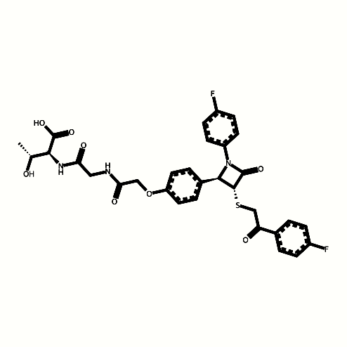 C[C@@H](O)[C@H](NC(=O)CNC(=O)COc1ccc([C@@H]2[C@@H](SCC(=O)c3ccc(F)cc3)C(=O)N2c2ccc(F)cc2)cc1)C(=O)O